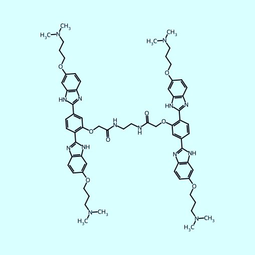 CN(C)CCCOc1ccc2nc(-c3ccc(-c4nc5ccc(OCCCN(C)C)cc5[nH]4)c(OCC(=O)NCCNC(=O)COc4cc(-c5nc6ccc(OCCCN(C)C)cc6[nH]5)ccc4-c4nc5ccc(OCCCN(C)C)cc5[nH]4)c3)[nH]c2c1